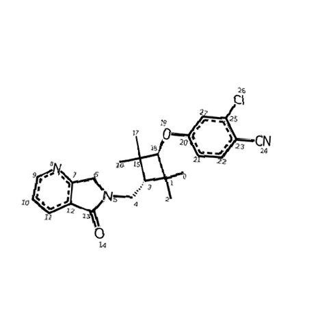 CC1(C)[C@H](CN2Cc3ncccc3C2=O)C(C)(C)[C@H]1Oc1ccc(C#N)c(Cl)c1